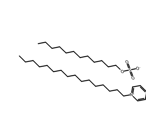 CCCCCCCCCCCCCCCC[n+]1ccccc1.CCCCCCCCCCCCOS(=O)(=O)[O-]